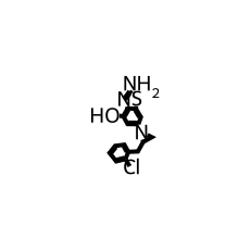 Nc1nc2c(O)cc(N3CC3Cc3ccccc3Cl)cc2s1